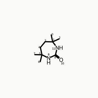 CC1(C)CCC(C)(C)NC(=O)N1